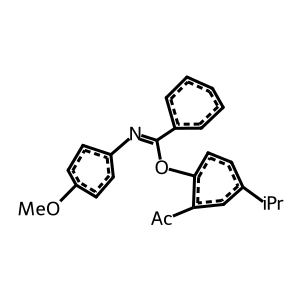 COc1ccc(N=C(Oc2ccc(C(C)C)cc2C(C)=O)c2ccccc2)cc1